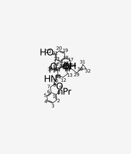 CCCc1ccccc1CC(=O)N[C@@H]1CC[C@@]2(O)C3Cc4ccc(O)c5c4[C@@]2(CCN3CC2CC2)[C@H]1O5